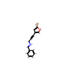 Brc1cc(C#CC/N=C/c2ccccc2)co1